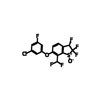 [O-][S@+]1c2c(ccc(Oc3cc(F)cc(Cl)c3)c2C(F)F)[C@@H](F)C1(F)F